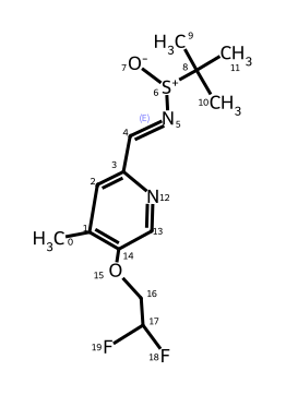 Cc1cc(/C=N/[S+]([O-])C(C)(C)C)ncc1OCC(F)F